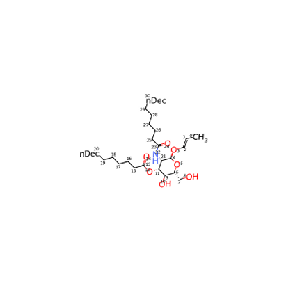 CC=CO[C@H]1O[C@H](CO)[C@@H](O)[C@H](OC(=O)CCCCCCCCCCCCCCC)[C@@H]1NC(=O)CCCCCCCCCCCCCCC